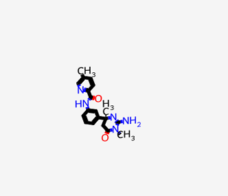 Cc1ccc(C(=O)Nc2cccc([C@]3(C)CC(=O)N(C)C(N)=N3)c2)nc1